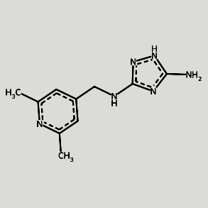 Cc1cc(CNc2n[nH]c(N)n2)cc(C)n1